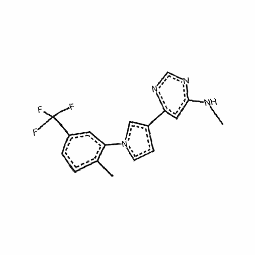 CNc1cc(-c2ccn(-c3cc(C(F)(F)F)ccc3C)c2)ncn1